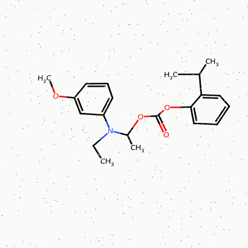 CCN(c1cccc(OC)c1)C(C)OC(=O)Oc1ccccc1C(C)C